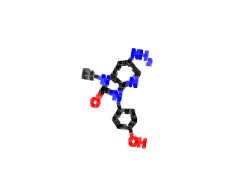 CCn1c(=O)n(-c2ccc(O)cc2)c2ncc(N)cc21